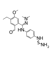 CCc1cc(C=O)c(/C(=N\N(C)C)Nc2ccc(NSN)cc2)cc1OC